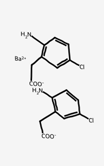 Nc1ccc(Cl)cc1CC(=O)[O-].Nc1ccc(Cl)cc1CC(=O)[O-].[Ba+2]